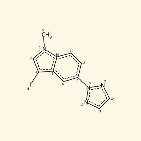 Cn1cc(I)c2cc(-n3nccn3)ccc21